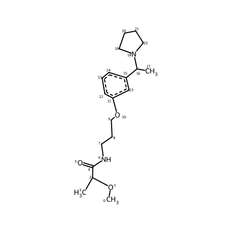 COC(C)C(=O)NCCCOc1cccc(C(C)N2CCCC2)c1